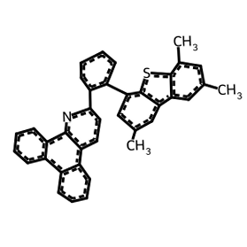 Cc1cc(C)c2sc3c(-c4ccccc4-c4ccc5c6ccccc6c6ccccc6c5n4)cc(C)cc3c2c1